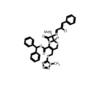 CN[C@@]1(N=CC(Cl)=Cc2ccccc2)C(=O)N2C(C(=O)OC(c3ccccc3)c3ccccc3)=C(CSc3nnnn3C)CS[C@H]21